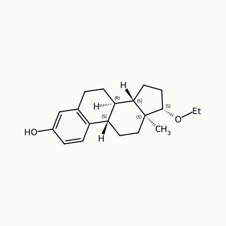 CCO[C@H]1CC[C@H]2[C@@H]3CCc4cc(O)ccc4[C@H]3CC[C@]12C